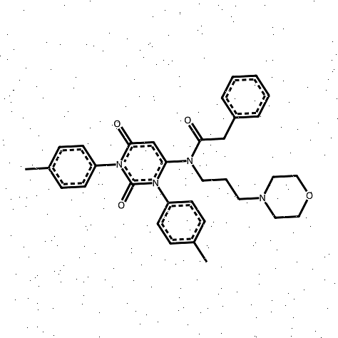 Cc1ccc(-n2c(N(CCCN3CCOCC3)C(=O)Cc3ccccc3)cc(=O)n(-c3ccc(C)cc3)c2=O)cc1